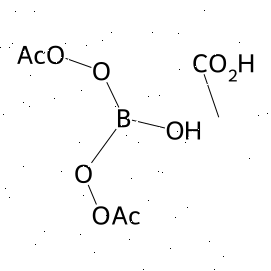 CC(=O)O.CC(=O)OOB(O)OOC(C)=O